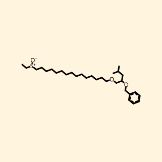 CC[S+]([O-])CCCCCCCCCCCCCCCOCC(CC(C)C)OCc1ccccc1